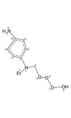 CCN(COOOO)c1ccc(N)cc1